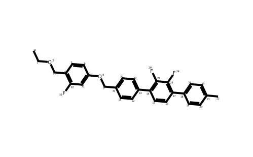 CCOCc1ccc(OCc2ccc(-c3ccc(-c4ccc(C)cc4)c(F)c3F)cc2)cc1F